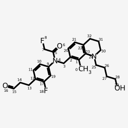 Cc1c(CN(C(=O)CF)c2ccc(CCC=O)c(F)c2)ccc2c1N(CCCCO)CCC2